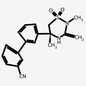 C=C1N[C@](C)(c2cccc(-c3cccc(C#N)c3)c2)CS(=O)(=O)N1C